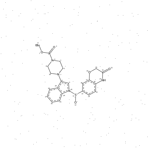 CC(C)(C)OC(=O)N1CCN(c2cn([S+]([O-])c3ccc4c(c3)OCC(=O)N4)c3ccccc23)CC1